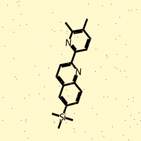 Cc1ccc(-c2ccc3cc([Si](C)(C)C)ccc3n2)nc1C